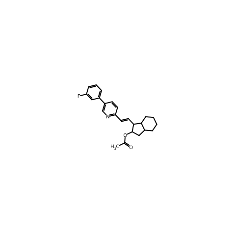 CC(=O)OC1CC2CCCCC2C1C=Cc1ccc(-c2cccc(F)c2)cn1